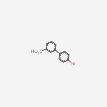 O=C(O)c1cccc(-c2ccc(Br)cc2)c1